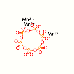 O=P1([O-])OP(=O)([O-])OP(=O)([O-])OP(=O)([O-])OP(=O)([O-])OP(=O)([O-])O1.[Mn+2].[Mn+2].[Mn+2]